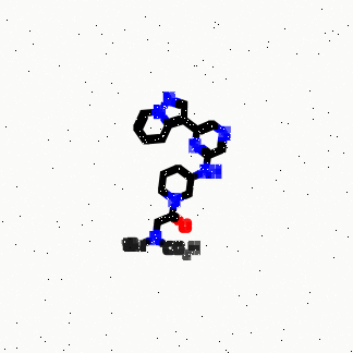 CC(C)(C)N(CC(=O)N1CCC[C@@H](Nc2cncc(-c3cnn4ccccc34)n2)C1)C(=O)O